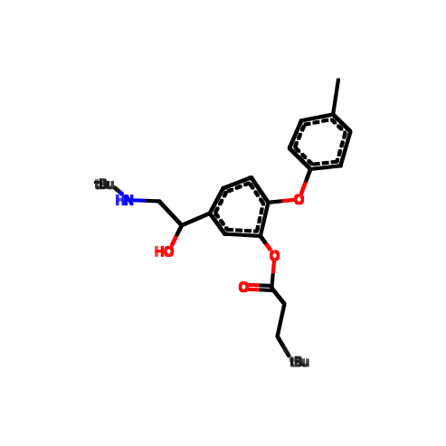 Cc1ccc(Oc2ccc(C(O)CNC(C)(C)C)cc2OC(=O)CCC(C)(C)C)cc1